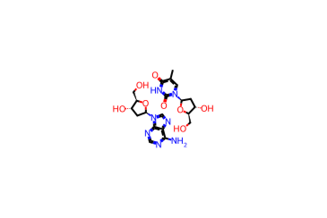 Cc1cn([C@H]2C[C@H](O)[C@@H](CO)O2)c(=O)[nH]c1=O.Nc1ncnc2c1ncn2[C@H]1C[C@H](O)[C@@H](CO)O1